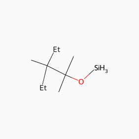 CCC(C)(CC)C(C)(C)O[SiH3]